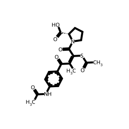 CC(=O)Nc1ccc(C(=O)/C(C)=C(/SC(C)=O)C(=O)N2CCC[C@H]2C(=O)O)cc1